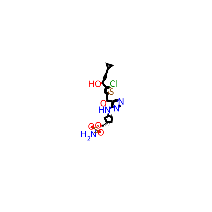 NS(=O)(=O)OC[C@@H]1CC[C@H](Nc2ncncc2C(=O)c2cc(C(O)C#CC3CC3)c(Cl)s2)C1